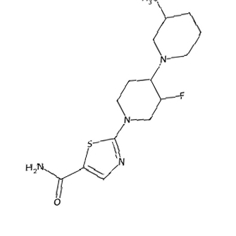 CC1CCCN(C2CCN(c3ncc(C(N)=O)s3)CC2F)C1